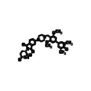 COc1cc(-c2cc(C)c(=O)n(C)c2)cc(OC)c1CN1CCN(c2ccc3c(c2)C(=O)N(C2CCC(=O)NC2=O)C3=O)CC1